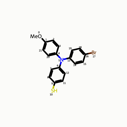 COc1ccc(N(c2ccc(S)cc2)c2ccc(Br)cc2)cc1